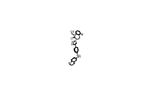 O=C1C(n2cc(-c3ccc(Nc4ccc5ncccc5c4)cc3)nn2)CCc2c(F)cccc2N1CC(F)(F)F